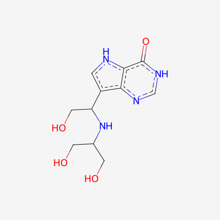 O=c1[nH]cnc2c(C(CO)NC(CO)CO)c[nH]c12